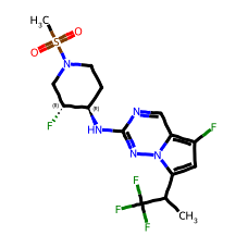 CC(c1cc(F)c2cnc(N[C@@H]3CCN(S(C)(=O)=O)C[C@H]3F)nn12)C(F)(F)F